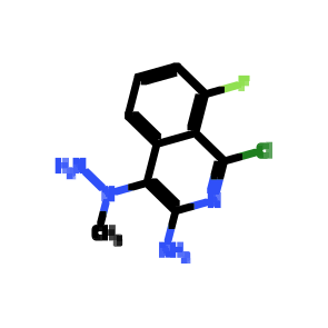 CN(N)c1c(N)nc(Cl)c2c(F)cccc12